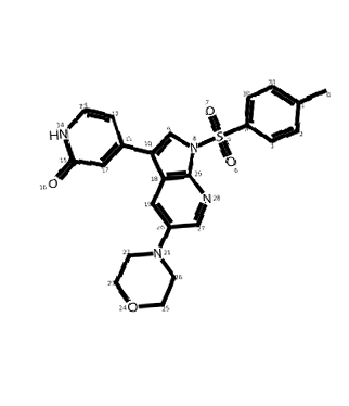 Cc1ccc(S(=O)(=O)n2cc(-c3cc[nH]c(=O)c3)c3cc(N4CCOCC4)cnc32)cc1